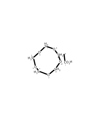 CC(=O)O.O1[SiH2]O[SiH2]O[SiH2]O[SiH2]O[SiH2]1